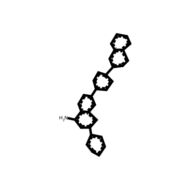 Nc1cc(-c2ccccc2)cc2cc(-c3ccc(-c4ccc5ccccc5c4)cc3)ccc12